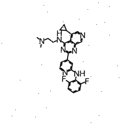 CN(C)CCNc1nc(-c2ccnc(Nc3c(F)cccc3F)c2)nc2cncc(C3CC3)c12